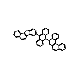 c1ccc2c(c1)ccc1c3cc(-c4c5ccccc5c(-c5cc6ccc7ccccc7c6c6ccccc56)c5ccccc45)ccc3sc21